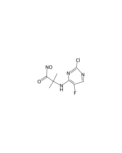 CC(C)(Nc1nc(Cl)ncc1F)C(=O)N=O